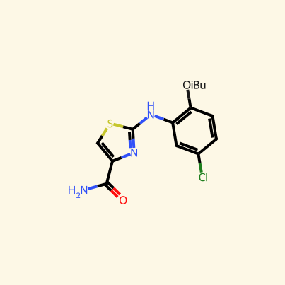 CC(C)COc1ccc(Cl)cc1Nc1nc(C(N)=O)cs1